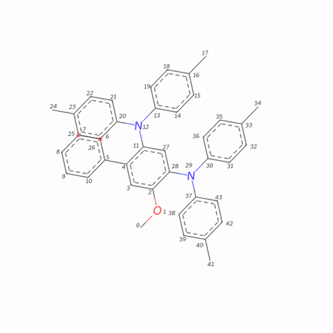 COc1cc(-c2ccccc2)c(N(c2ccc(C)cc2)c2ccc(C)cc2)cc1N(c1ccc(C)cc1)c1ccc(C)cc1